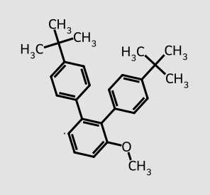 COc1cc[c]c(-c2ccc(C(C)(C)C)cc2)c1-c1ccc(C(C)(C)C)cc1